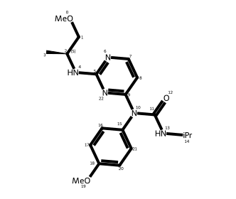 COC[C@H](C)Nc1nccc(N(C(=O)NC(C)C)c2ccc(OC)cc2)n1